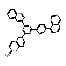 C=C/C=C\c1cc(-c2nc(-c3ccc(-c4cccc5cccnc45)cc3)nc(-c3ccc4ccccc4c3)n2)ccc1C